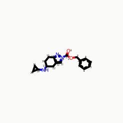 O=C(OCc1ccccc1)n1cc2c(n1)CCC(NC1CC1)C2